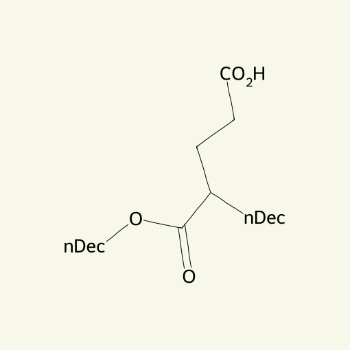 CCCCCCCCCCOC(=O)C(CCCCCCCCCC)CCC(=O)O